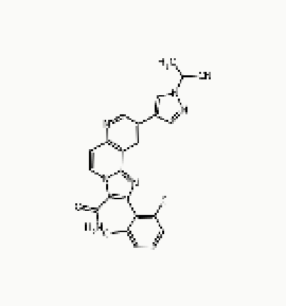 CC(C#N)n1cc(-c2cnc3ccn4c(C(N)=O)c(-c5c(Cl)cccc5Cl)nc4c3c2)cn1